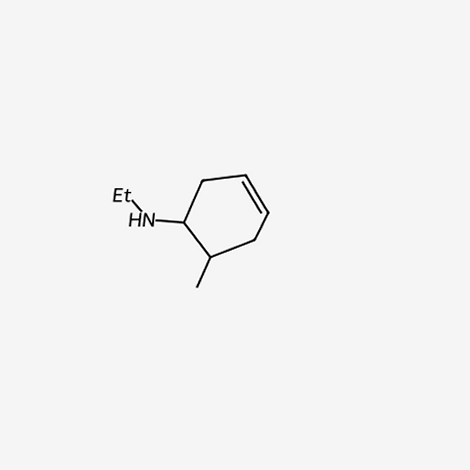 CCNC1CC=CCC1C